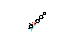 Cc1cc(C)c(OCC2=CCC(C3CCC(C4CCC4)CC3)CC2)c(F)c1F